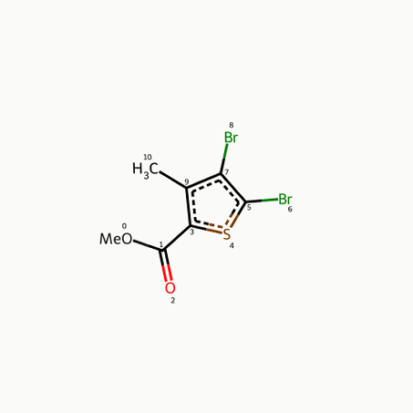 COC(=O)c1sc(Br)c(Br)c1C